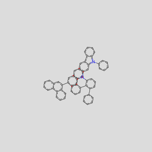 c1ccc(-c2ccccc2-c2c(-c3ccccc3)cccc2N(c2ccc(-c3cc4ccccc4c4ccccc34)cc2)c2ccc3c4ccccc4n(-c4ccccc4)c3c2)cc1